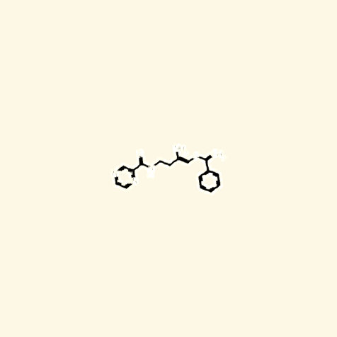 C=C(S/C=C(\N)CCNC(=O)c1cnccn1)c1ccccc1